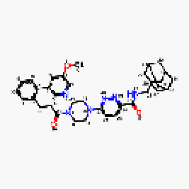 CCOc1cncc(-c2ccccc2CCC(=O)N2CCN(c3ccc(C(=O)NCC45CC6CC(CC(C6)C4)C5)nn3)CC2)c1